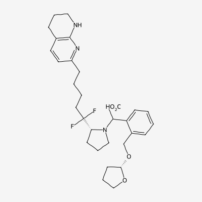 O=C(O)C(c1ccccc1CO[C@H]1CCCO1)N1CCC[C@@H]1C(F)(F)CCCCc1ccc2c(n1)NCCC2